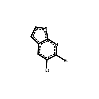 CCc1cc2ccsc2nc1CC